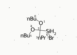 CCCCOC(CCC)(OCCCC)[SiH2]Br